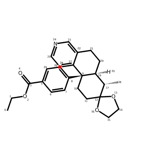 CCOC(=O)c1ccc([C@]23CCC4(OCCO4)[C@@H](C)[C@@H]2CCc2cncnc23)cc1